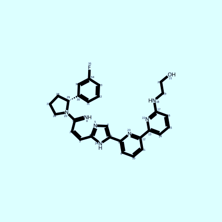 N=C(/C=C\c1ncc(-c2cccc(-c3cccc(NCCO)n3)n2)[nH]1)N1CCC[C@@H]1c1cccc(F)c1